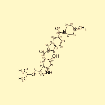 CC(C)OCc1n[nH]c2cc(O)c(C(=O)N3Cc4ccc(C(=O)N5CCN(C)CC5)cc4C3)cc12